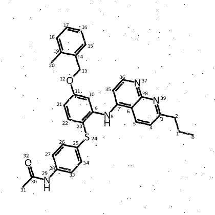 CCCc1ccc2c(Nc3cc(OCc4ccccc4C)ccc3Sc3ccc(NC(C)=O)cc3)ccnc2n1